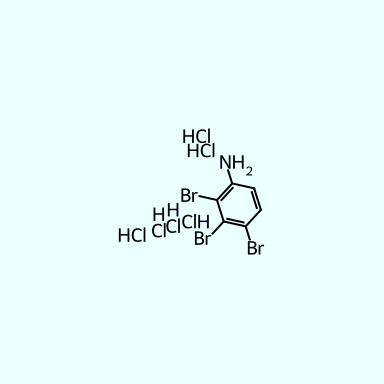 Cl.Cl.Cl.Cl.Cl.Cl.Nc1ccc(Br)c(Br)c1Br